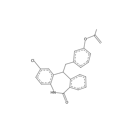 C=C(C)Oc1cccc(CC2c3cc(Cl)ccc3NC(=O)c3ccccc32)c1